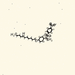 C=CCCNCCCCCCO[C@H]1CC[C@H](N(C)S(=O)(=O)c2ccc([N+](=O)[O-])cc2)CC1